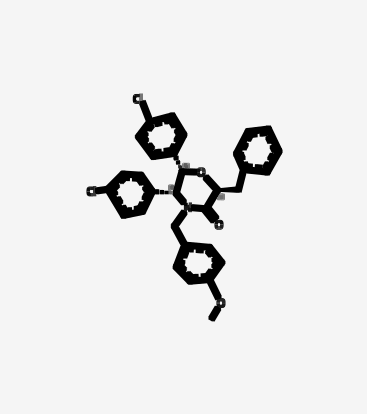 COc1ccc(CN2C(=O)[C@H](Cc3ccccc3)O[C@@H](c3ccc(Cl)cc3)[C@H]2c2ccc(Cl)cc2)cc1